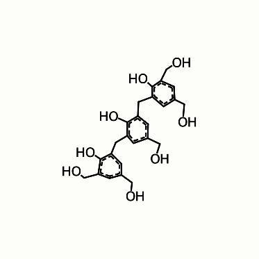 OCc1cc(CO)c(O)c(Cc2cc(CO)cc(Cc3cc(CO)cc(CO)c3O)c2O)c1